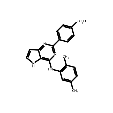 CCOC(=O)c1ccc(-c2nc(Nc3cc(C)ccc3C)c3[nH]ccc3n2)cc1